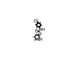 O=C(Nc1ccc(Cl)cc1)O[C@H]1CCCNC1